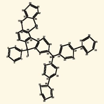 CC1(c2ccccc2)c2cc(N(c3ccc(-c4ccccc4)cc3)c3ccc(-c4ccccc4)cc3)ccc2-c2c1ccc1c2Oc2ccccc2S1